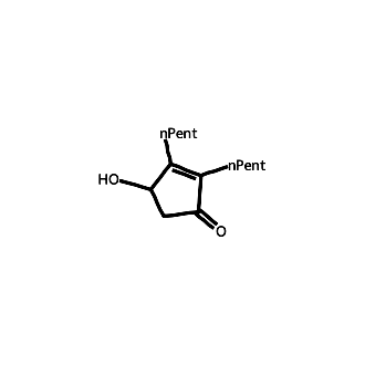 CCCCCC1=C(CCCCC)C(O)CC1=O